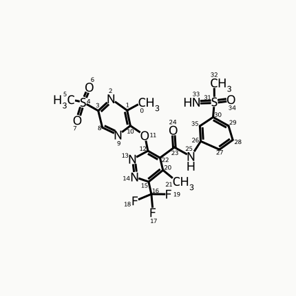 Cc1nc(S(C)(=O)=O)cnc1Oc1nnc(C(F)(F)F)c(C)c1C(=O)Nc1cccc(S(C)(=N)=O)c1